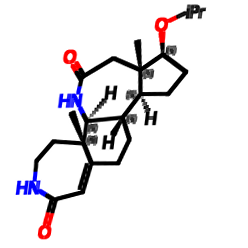 CC(C)O[C@H]1CC[C@H]2[C@@H]3CCC4=CC(=O)NCC[C@]4(C)[C@H]3NC(=O)C[C@]12C